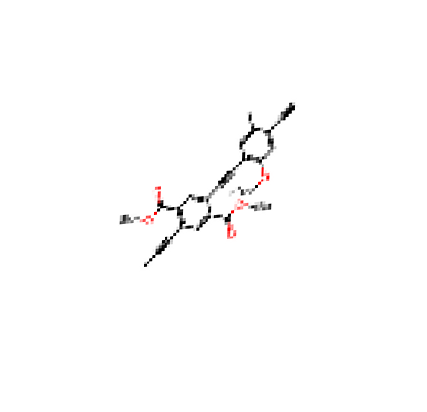 C#Cc1cc(OCCCCCCCCCC)c(C#Cc2cc(C(=O)OC(C)(C)C)c(C#CC)cc2C(=O)OC(C)(C)C)cc1C